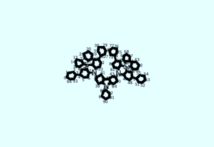 c1ccc(-c2ccc3c(c2)[Si](c2ccccc2)(c2ccccc2)c2cc(-c4ccccc4)ccc2N3c2ccc3c(c2)c2cc(N4c5ccc(-c6ccccc6)cc5[Si](c5ccccc5)(c5ccccc5)c5cc(-c6ccccc6)ccc54)ccc2n3-c2ccccc2)cc1